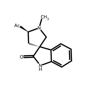 CC(=O)[C@@H]1C[C@@]2(CN1C)C(=O)Nc1ccccc12